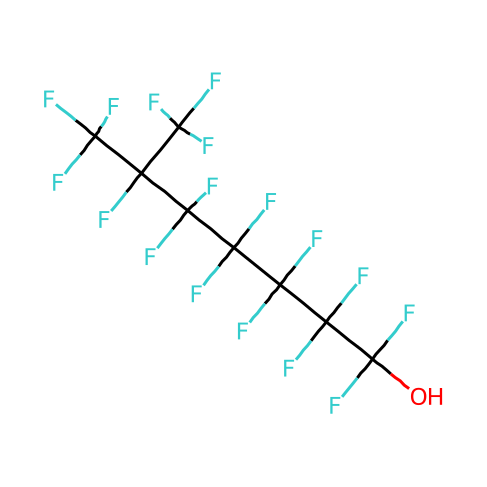 OC(F)(F)C(F)(F)C(F)(F)C(F)(F)C(F)(F)C(F)(C(F)(F)F)C(F)(F)F